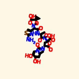 Nc1nc(/C(=N/OC2(C(=O)O)CC2)C(=O)N[C@H]2CON(C3(C(=O)O)CC(N4Cc5cc(O)c(O)c[n+]5C4=O)C(=O)O3)C2=O)cs1